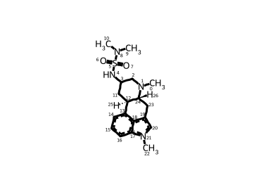 CN1CC(NS(=O)(=O)N(C)C)C[C@@H]2c3cccc4c3c(cn4C)C[C@H]21